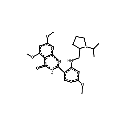 COc1ccc(-c2nc3cc(OC)cc(OC)c3c(=O)[nH]2)c(NCC2CCCN2C(C)C)c1